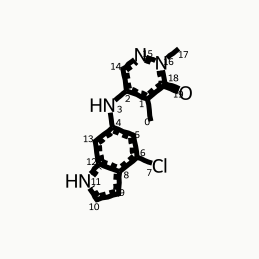 Cc1c(Nc2cc(Cl)c3cc[nH]c3c2)cnn(C)c1=O